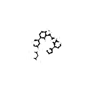 CC(C)CC(O)Nc1cncc(-c2ccc3[nH]nc(-c4nc5c(-c6cccs6)ccnc5[nH]4)c3c2F)c1